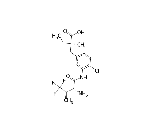 CC[C@](C)(Cc1ccc(Cl)c(NC(=O)[C@H](N)[C@@H](C)C(F)(F)F)c1)C(=O)O